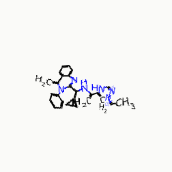 C=C(N/C=N\N=C/C)C(=C)NC(C1=Nc2ccccc2C(=C)N1c1ccccc1)C1CC1